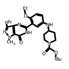 CCCc1nn(C)c2c(=O)[nH]c(-c3cc(NC4CCN(C(=O)OC(C)(C)C)CC4)ccc3OCC)nc12